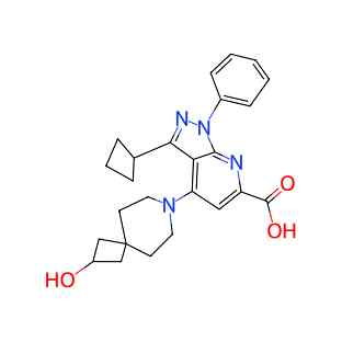 O=C(O)c1cc(N2CCC3(CC2)CC(O)C3)c2c(C3CCC3)nn(-c3ccccc3)c2n1